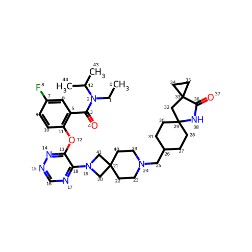 CCN(C(=O)c1cc(F)ccc1Oc1nncnc1N1CC2(CCN(CC3CCC4(CC3)CC3(CC3)C(=O)N4)CC2)C1)C(C)C